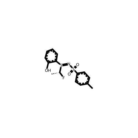 Cc1ccc(S(=O)(=O)N=S(c2ccccc2O)[C@@H](C)F)cc1